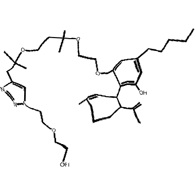 C=C(C)C1CCC(C)=CC1c1c(O)cc(CCCCC)cc1OCCOC(C)(C)CCOC(C)(C)Cc1cn(CCOCCO)nn1